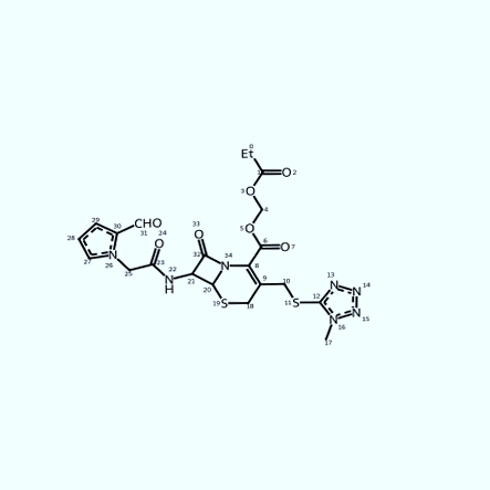 CCC(=O)OCOC(=O)C1=C(CSc2nnnn2C)CSC2C(NC(=O)Cn3cccc3C=O)C(=O)N12